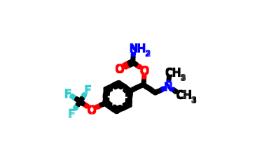 CN(C)CC(OC(N)=O)c1ccc(OC(F)(F)F)cc1